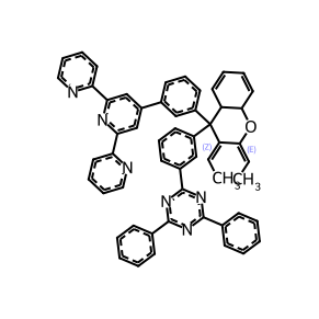 C/C=C1\C(=C/C)OC2C=CC=CC2C1(c1cccc(-c2cc(-c3ccccn3)nc(-c3ccccn3)c2)c1)c1cccc(-c2nc(-c3ccccc3)nc(-c3ccccc3)n2)c1